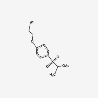 CC(=O)OC(C)S(=O)(=O)c1ccc(OCCC(C)C)cc1